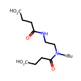 CCCCN(CCNC(=O)CCC(=O)O)C(=O)CCC(=O)O